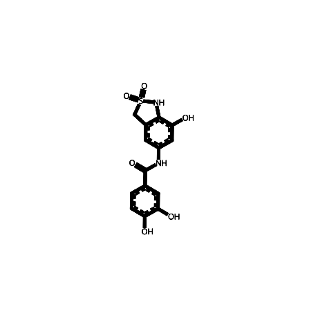 O=C(Nc1cc(O)c2c(c1)CS(=O)(=O)N2)c1ccc(O)c(O)c1